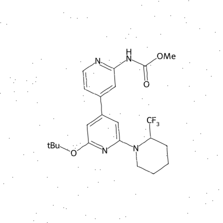 COC(=O)Nc1cc(-c2cc(OC(C)(C)C)nc(N3CCCCC3C(F)(F)F)c2)ccn1